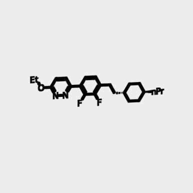 CCC[C@H]1CC[C@H](CCc2ccc(-c3ccc(OCC)nn3)c(F)c2F)CC1